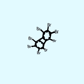 Brc1c(Br)c(Br)c2c(c1Br)-c1c(Br)c(Br)c(Br)c(Br)c1-2